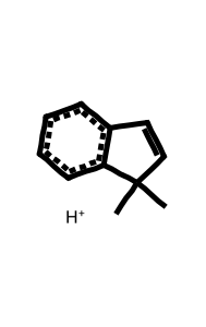 CC1(C)C=Cc2ccccc21.[H+]